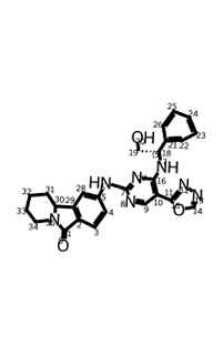 O=C1c2ccc(Nc3ncc(-c4nnco4)c(N[C@H](CO)c4ccccc4)n3)cc2C2CCCCN12